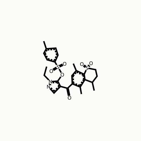 CCn1ncc(C(=O)c2cc(C)c3c(c2C)C(C)CCS3(=O)=O)c1OS(=O)(=O)c1ccc(C)cc1